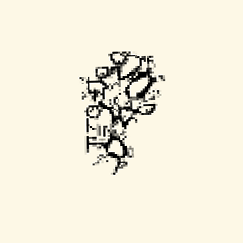 O=C(c1sc2c(ccc(=O)n2-c2ccc(F)cc2)c1Nc1ccc(F)cc1F)N1CC[C@@H](OC2CCCCO2)C1